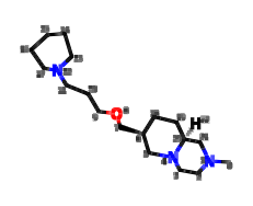 CN1CCN2C[C@@H](COCCCN3CCCCC3)CC[C@H]2C1